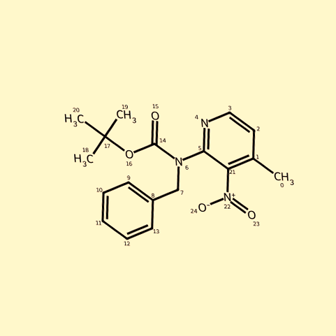 Cc1ccnc(N(Cc2ccccc2)C(=O)OC(C)(C)C)c1[N+](=O)[O-]